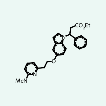 CCOC(=O)CC(c1ccccc1)n1ccc2cc(OCCc3cccc(NC)n3)ccc21